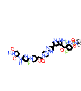 CCN(C)S(=O)(=O)Nc1ccc(F)c(C(=O)c2c[nH]c3ncc(-c4cnc(N5CCN(C(=O)CC6(O)CCN(c7ncc(NC8CCC(=O)NC8=O)cc7F)CC6)CC5)nc4)cc23)c1F